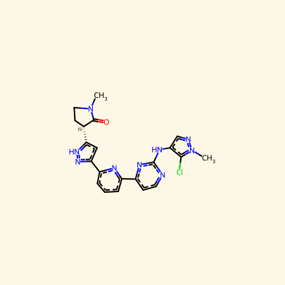 CN1CC[C@@H](c2cc(-c3cccc(-c4ccnc(Nc5cnn(C)c5Cl)n4)n3)n[nH]2)C1=O